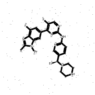 CC[C@@H](c1ccc(Nc2ncc(F)c(-c3cc(F)c4nc(C)n(C(C)C)c4c3)n2)nc1)N1CCNCC1